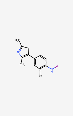 CCc1cc(C2=C(C)N=C(C)C2)ccc1NI